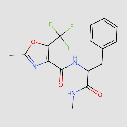 CNC(=O)C(Cc1ccccc1)NC(=O)c1nc(C)oc1C(F)(F)F